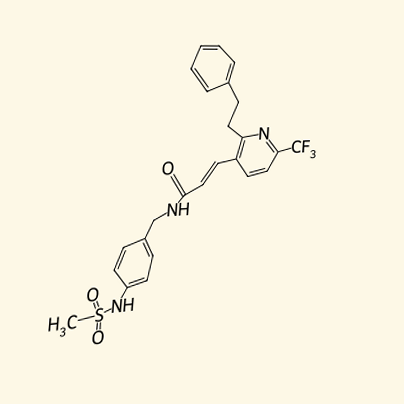 CS(=O)(=O)Nc1ccc(CNC(=O)/C=C/c2ccc(C(F)(F)F)nc2CCc2ccccc2)cc1